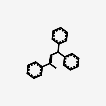 C/C(=C\C(c1ccccc1)c1ccccc1)c1ccccc1